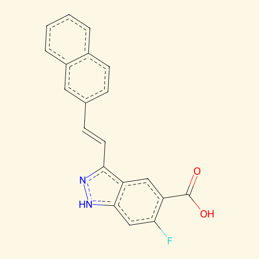 O=C(O)c1cc2c(/C=C/c3ccc4ccccc4c3)n[nH]c2cc1F